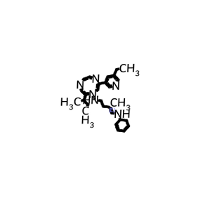 CCc1cncc(-c2cn(NCC/C(C)=C/NC3C=CC=CC3)c(C(C)CC)cnccn2)c1